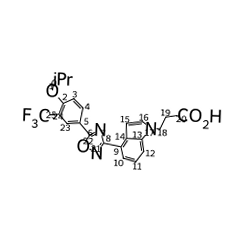 CC(C)Oc1ccc(-c2nc(-c3cccc4c3ccn4CCC(=O)O)no2)cc1C(F)(F)F